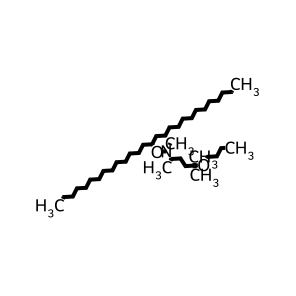 CCCCCCCCCCCCCCC(CCCCCCCCCCCCC)ON(C)C(C)CCC(C)(C)OCCCC